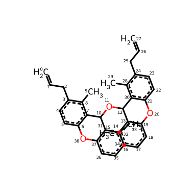 C=CCc1ccc2c(c1C)C(OC1c3c(C)cccc3Oc3ccc(CC=C)c(C)c31)c1c(C)cccc1O2